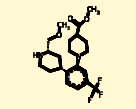 COC[C@@H]1C[C@H](c2ccc(C(F)(F)F)cc2N2CCC(C(=O)OC)CC2)CCN1